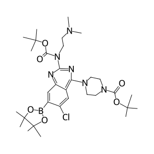 CN(C)CCN(C(=O)OC(C)(C)C)c1nc(N2CCN(C(=O)OC(C)(C)C)CC2)c2cc(Cl)c(B3OC(C)(C)C(C)(C)O3)cc2n1